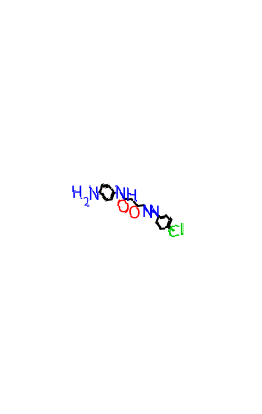 Nc1ccc(NC(=O)CC(=O)CN=Nc2ccc(Cl)cc2)cc1